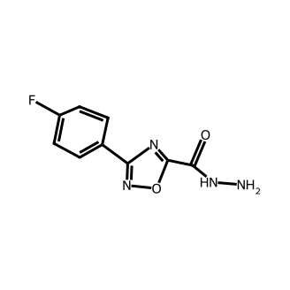 NNC(=O)c1nc(-c2ccc(F)cc2)no1